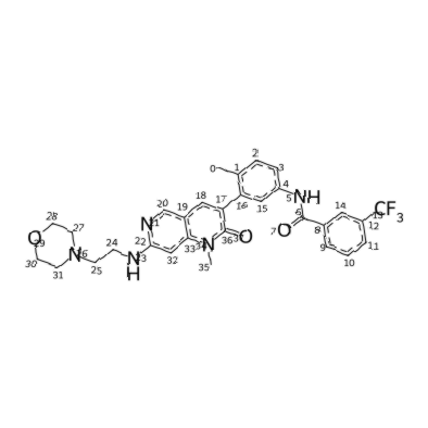 Cc1ccc(NC(=O)c2cccc(C(F)(F)F)c2)cc1-c1cc2cnc(NCCN3CCOCC3)cc2n(C)c1=O